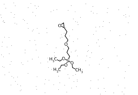 CCO[Si](CCCOCCCC1CO1)(OCC)OCC